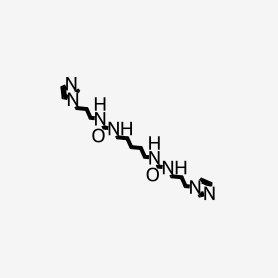 O=C(NCCCCCNC(=O)NCCCn1ccnc1)NCCCn1ccnc1